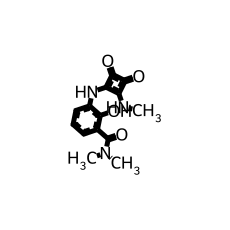 CNc1c(Nc2cccc(C(=O)N(C)C)c2O)c(=O)c1=O